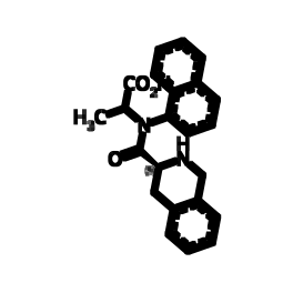 CC(C(=O)O)N(C(=O)[C@@H]1Cc2ccccc2CN1)c1cccc2ccccc12